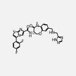 CN1C(=O)[C@@H](NC(=O)c2cn3c(-c4ccc(F)cc4F)csc3n2)COc2cc(CNCc3ncn[nH]3)ccc21